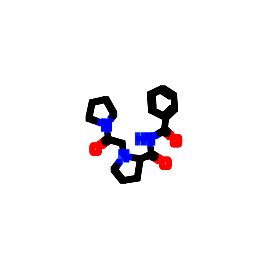 O=C(NC(=O)[C@H]1CCCN1CC(=O)N1CCCC1)c1ccccc1